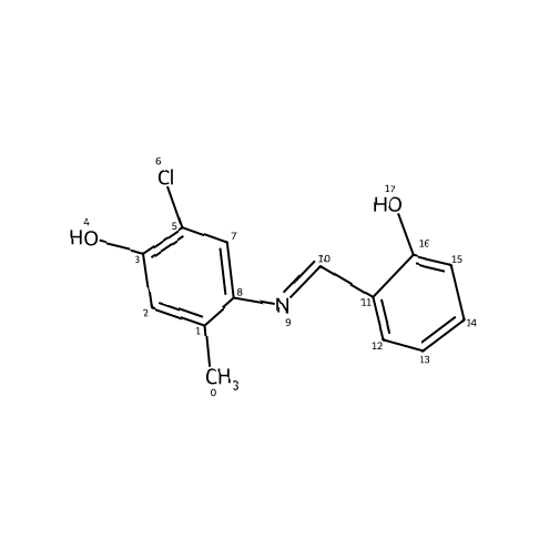 Cc1cc(O)c(Cl)cc1N=Cc1ccccc1O